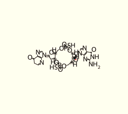 Nc1nc2c(ncn2[C@@H]2O[C@@H]3CO[P@@](=O)(S)O[C@H]4C[C@H](n5cnc6c5N=CCC6=O)O[C@@H]4CO[P@@](=O)(S)O[C@@H]2[C@@H]3F)c(=O)[nH]1